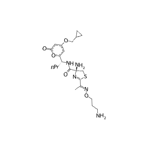 CCC[C@@H](NC(=O)[C@]1(N)CSC(/C(C)=N/OCCCN)=N1)c1cc(OCC2CC2)cc(=O)o1